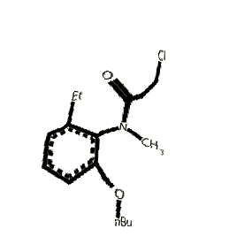 CCCCOc1cccc(CC)c1N(C)C(=O)CCl